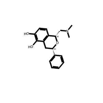 CN(C)C[C@@H]1O[C@H](c2ccccc2)Cc2c1ccc(O)c2O